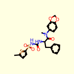 Cc1ccc(S(=O)(=O)NC(=O)NC(Cc2ccccc2)C(=O)N(C)c2ccc3c(c2)OCO3)s1